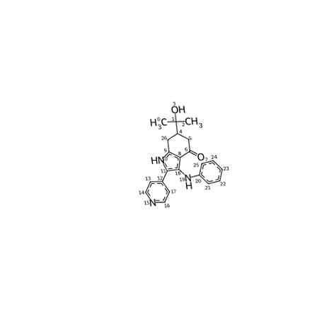 CC(C)(O)C1CC(=O)c2c([nH]c(-c3ccncc3)c2Nc2ccccc2)C1